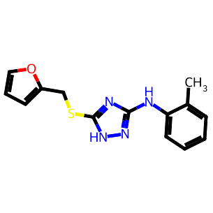 Cc1ccccc1Nc1n[nH]c(SCc2ccco2)n1